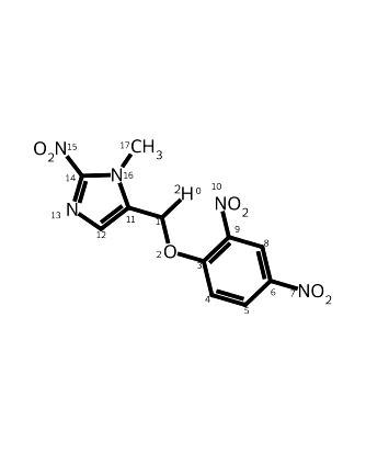 [2H]C(Oc1ccc([N+](=O)[O-])cc1[N+](=O)[O-])c1cnc([N+](=O)[O-])n1C